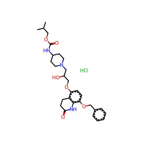 CC(C)COC(=O)NC1CCN(CC(O)COc2ccc(OCc3ccccc3)c3c2CCC(=O)N3)CC1.Cl